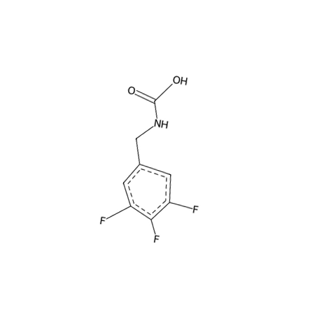 O=C(O)NCc1cc(F)c(F)c(F)c1